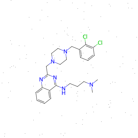 CN(C)CCCNc1nc(CN2CCN(Cc3cccc(Cl)c3Cl)CC2)nc2ccccc12